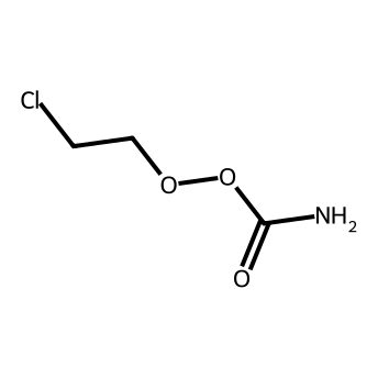 NC(=O)OOCCCl